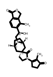 CC1=C(N2CC[C@]3(C[C@H]4CC[C@@H](C3)N4C[C@H](O)c3ccc4c(c3C)COC4=O)C2=O)CCC1=O